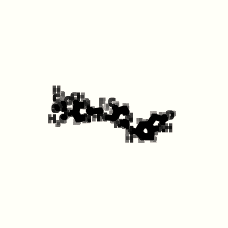 Cc1nc(CNc2nc(Nc3ccc4c(c3)CC(=O)N4)ncc2C(F)(F)F)ncc1N(C)S(C)(=O)=O